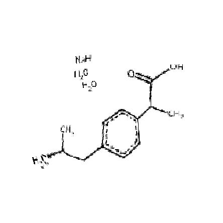 CC(C)Cc1ccc(C(C)C(=O)O)cc1.O.O.[NaH]